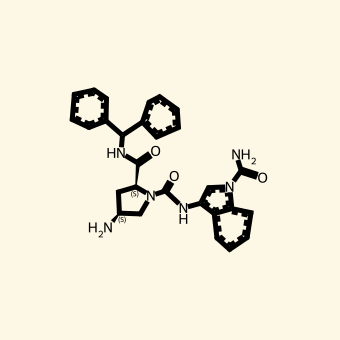 NC(=O)n1cc(NC(=O)N2C[C@@H](N)C[C@H]2C(=O)NC(c2ccccc2)c2ccccc2)c2ccccc21